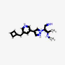 C=N/C(C)=C(/C=N)n1cc(-c2cncc(CC3CCC3)c2)cn1